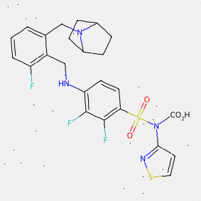 O=C(O)N(c1ccsn1)S(=O)(=O)c1ccc(NCc2c(F)cccc2CN2C3CCC2CC3)c(F)c1F